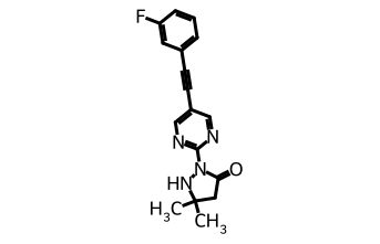 CC1(C)CC(=O)N(c2ncc(C#Cc3cccc(F)c3)cn2)N1